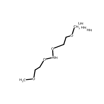 COCC[O][AlH][O]CCOC.[HH].[HH].[LiH]